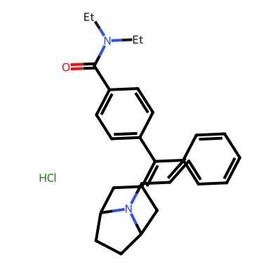 C=CCN1C2CCC1CC(=C(c1ccccc1)c1ccc(C(=O)N(CC)CC)cc1)C2.Cl